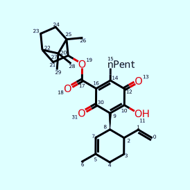 C=CC1CCC(C)=C[C@H]1C1=C(O)C(=O)C(CCCCC)=C(C(=O)OC2CC3CCC2(C)C3(C)C)C1=O